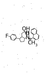 C[C@@H](NC1CCC(c2ccc(F)cc2)C1CC(=O)O)c1cccc2ccccc12